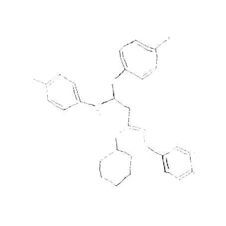 Clc1ccc(SC(C/C(=N/Sc2ccccc2)OC2CCCCC2)Sc2ccc(Cl)cc2)cc1